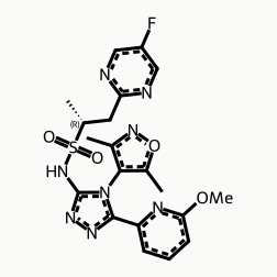 COc1cccc(-c2nnc(NS(=O)(=O)[C@H](C)Cc3ncc(F)cn3)n2-c2c(C)noc2C)n1